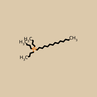 CCCCCCCCCCCCCC[P+](CCCC)(CCCC)CCCC